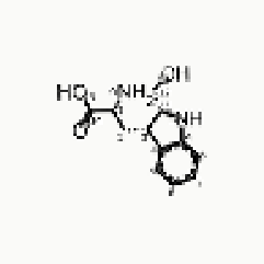 N[C@@H](C[C@H]1c2ccccc2N[C@H]1CO)C(=O)O